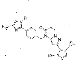 CCn1cc(C(F)(F)F)nc1-c1ccc(CN2C(=O)CCn3nc(-c4c(C5CC5)cnn4C(C)C)cc32)cc1